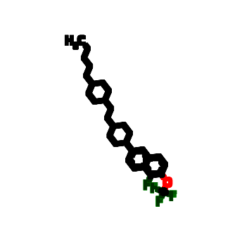 CCCCCC1CCC(CCC2CCC(c3ccc4c(F)c(OC(F)(F)F)ccc4c3)CC2)CC1